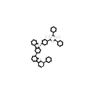 C1=Cc2c(sc3c(-c4ccc5c(c4)c4ccccc4n5-c4ccc(C5N=C(c6ccccc6)NC(c6ccccc6)N5)cc4)cccc23)C(c2ccccc2)C1